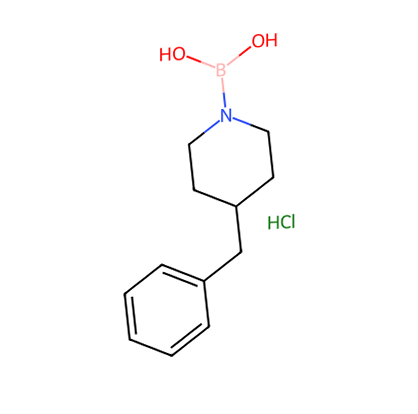 Cl.OB(O)N1CCC(Cc2ccccc2)CC1